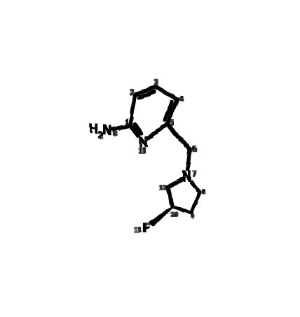 Nc1cccc(CN2CC[C@@H](F)C2)n1